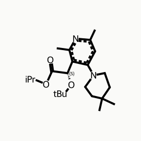 Cc1cc(N2CCC(C)(C)CC2)c([C@H](OC(C)(C)C)C(=O)OC(C)C)c(C)n1